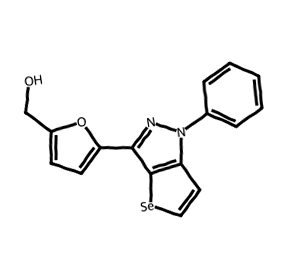 OCc1ccc(-c2nn(-c3ccccc3)c3cc[se]c23)o1